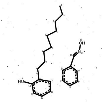 CCCCCCCCCc1ccccc1O.ON=Cc1ccccc1